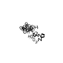 O=[N+]([O-])c1cccn1[C@H]1C[C@H](O)[C@@H](COP(=O)(O)OP(=O)(O)OP(=O)(O)O)O1